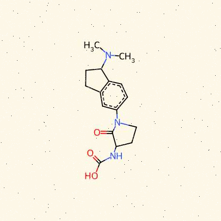 CN(C)C1CCc2cc(N3CCC(NC(=O)O)C3=O)ccc21